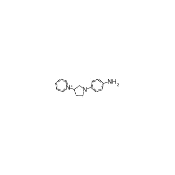 Nc1ccc(N2CCC([n+]3ccccc3)C2)cc1